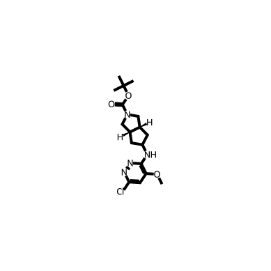 COc1cc(Cl)nnc1NC1C[C@@H]2CN(C(=O)OC(C)(C)C)C[C@@H]2C1